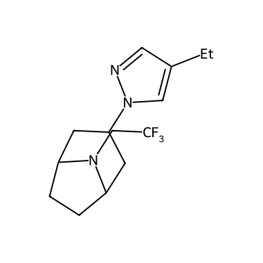 CCc1cnn(C2CC3CCC(C2)N3CC(F)(F)F)c1